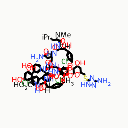 CN[C@H](CC(C)C)C(=O)N[C@H]1C(=O)N[C@@H](CC(N)=O)C(=O)N[C@H]2C(=O)N[C@H]3C(=O)N[C@H](C(=O)N[C@H](C(=O)O)c4cc(O)cc(O)c4-c4cc3ccc4O)[C@H](O)c3ccc(c(Cl)c3)Oc3cc2cc(c3OC2OC(CSc3nc(N)n[nH]3)CC(O)C2OC2CC(I)(NCc3ccc(-c4ccc(Cl)cc4)cc3)C(O)C(C)O2)Oc2ccc(cc2Cl)[C@H]1O